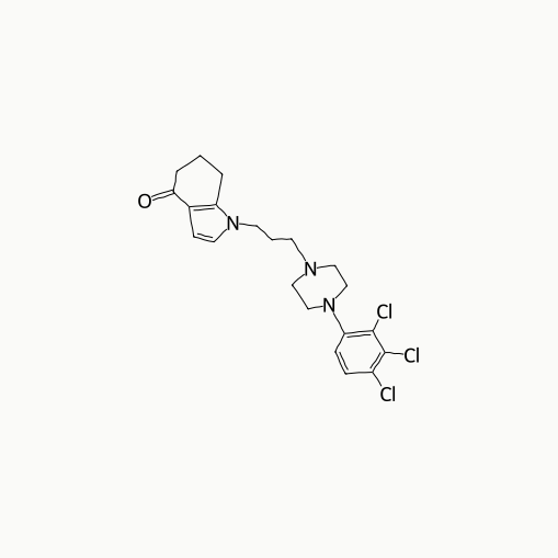 O=C1CCCc2c1ccn2CCCN1CCN(c2ccc(Cl)c(Cl)c2Cl)CC1